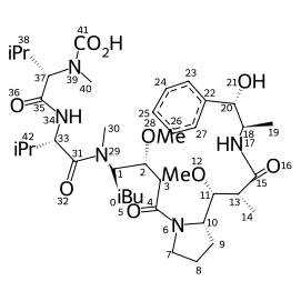 CC[C@H](C)[C@@H]([C@@H](CC(=O)N1CCC[C@H]1[C@H](OC)[C@@H](C)C(=O)N[C@H](C)[C@@H](O)c1ccccc1)OC)N(C)C(=O)[C@@H](NC(=O)[C@H](C(C)C)N(C)C(=O)O)C(C)C